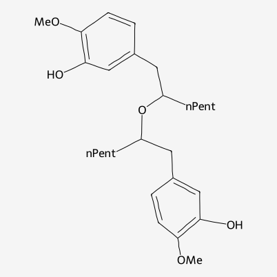 CCCCCC(Cc1ccc(OC)c(O)c1)OC(CCCCC)Cc1ccc(OC)c(O)c1